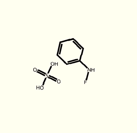 FNc1ccccc1.O=S(=O)(O)O